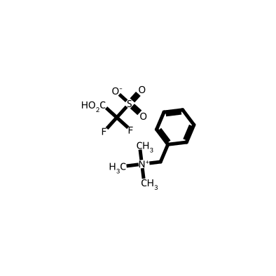 C[N+](C)(C)Cc1ccccc1.O=C(O)C(F)(F)S(=O)(=O)[O-]